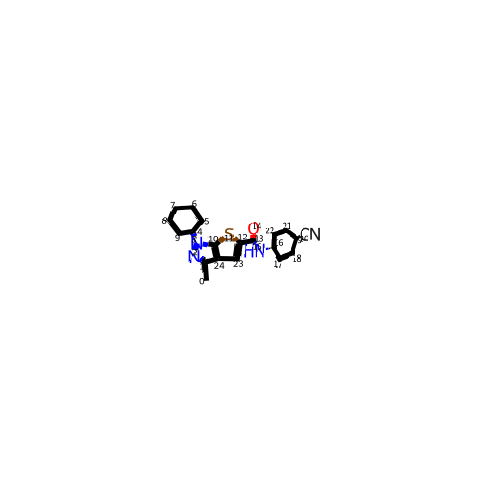 Cc1nn(C2CCCCC2)c2sc(C(=O)N[C@H]3CC[C@H](C#N)CC3)cc12